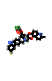 Cc1ccc2c3c(ccc2n1)OC[C@H](CN(CC1CCc2[nH]c4ccc(F)cc4c2C1)C1CCC1)O3.Cl.Cl.O.O